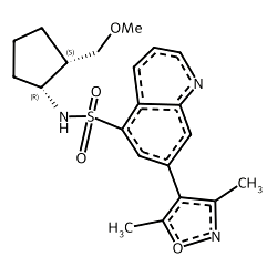 COC[C@H]1CCC[C@H]1NS(=O)(=O)c1cc(-c2c(C)noc2C)cc2ncccc12